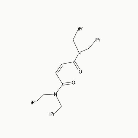 CC(C)CN(CC(C)C)C(=O)/C=C\C(=O)N(CC(C)C)CC(C)C